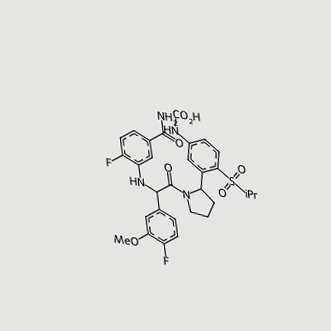 COc1cc(C(Nc2cc(C(N)=O)ccc2F)C(=O)N2CCCC2c2cc(NC(=O)O)ccc2S(=O)(=O)C(C)C)ccc1F